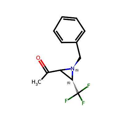 CC(=O)C1[C@@H](C(F)(F)F)[N@]1Cc1ccccc1